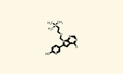 CS(C)(C)CCOCn1c(-c2ccc(O)nc2)cc2c(Cl)ncnc21